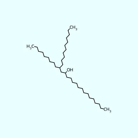 CCCCCCCCCCCCCCC(O)CC(CCCCCCCCC)CCCCCCCCCCC